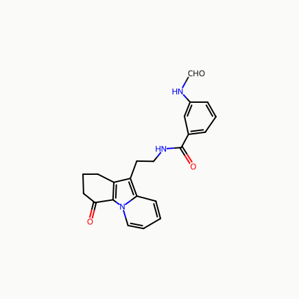 O=CNc1cccc(C(=O)NCCc2c3c(n4ccccc24)C(=O)CCC3)c1